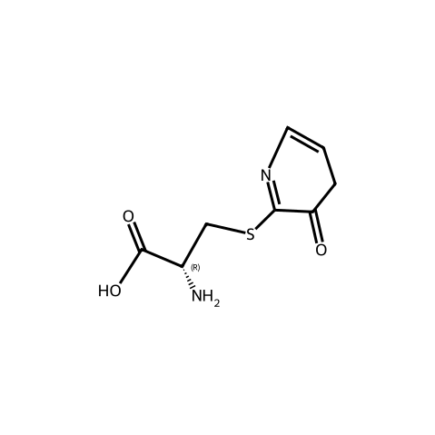 N[C@@H](CSC1=NC=CCC1=O)C(=O)O